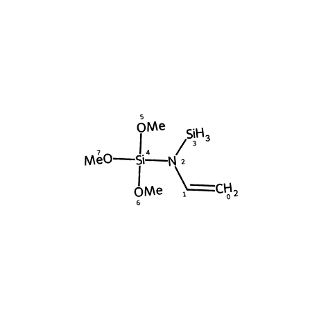 C=CN([SiH3])[Si](OC)(OC)OC